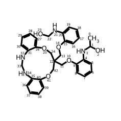 CC(O)Nc1ccccc1OCC1(COc2ccccc2NCO)COc2ccccc2NCNc2ccccc2OC1